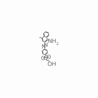 Cc1cc(N=Nc2ccc(S(=O)(=O)CCO)cc2)c(N)c2ccccc12